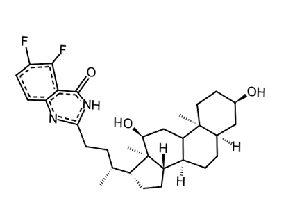 C[C@H](CCc1nc2ccc(F)c(F)c2c(=O)[nH]1)[C@H]1CC[C@H]2[C@@H]3CC[C@@H]4C[C@H](O)CC[C@]4(C)C3C[C@H](O)[C@]12C